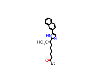 CCC(=O)CCCCCC(C(=O)O)c1ncc(-c2ccc3ccccc3c2)[nH]1